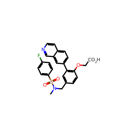 CN(Cc1ccc(OCC(=O)O)c(-c2ccc3ccncc3c2)c1)S(=O)(=O)c1ccc(F)cc1